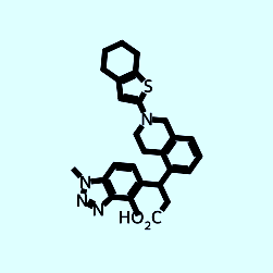 Cc1c(C(CC(=O)O)c2cccc3c2CCN(c2cc4c(s2)CCCC4)C3)ccc2c1nnn2C